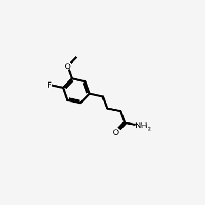 COc1cc(CCCC(N)=O)ccc1F